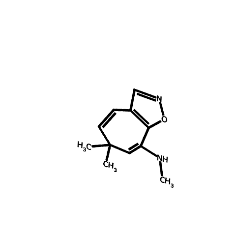 CNC1=CC(C)(C)C=Cc2cnoc21